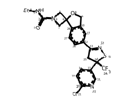 CCNC(=O)N1CC2(C1)OCc1cc(C3=NSC(c4ccc(Cl)nc4)(C(F)(F)F)C3)ccc12